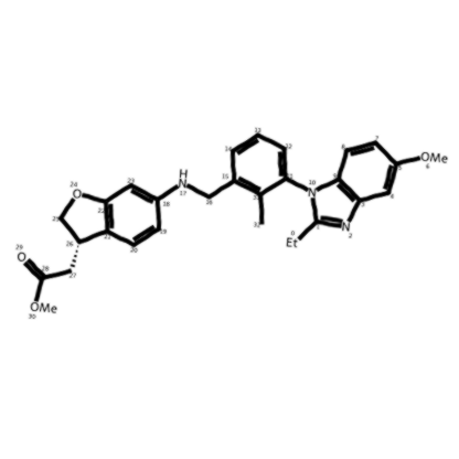 CCc1nc2cc(OC)ccc2n1-c1cccc(CNc2ccc3c(c2)OC[C@H]3CC(=O)OC)c1C